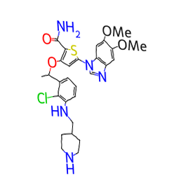 COc1cc2ncn(-c3cc(OC(C)c4cccc(NCC5CCNCC5)c4Cl)c(C(N)=O)s3)c2cc1OC